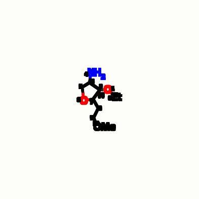 CCO[C@H]1C(N)COC1CCOC